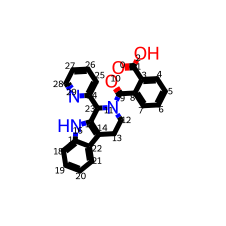 O=C(O)c1ccccc1C(=O)N1CCc2c([nH]c3ccccc23)C1c1ccccn1